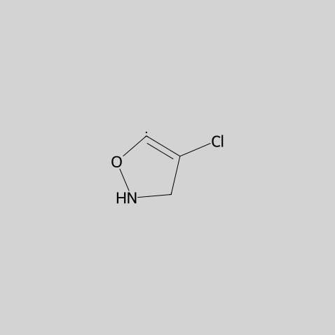 ClC1=[C]ONC1